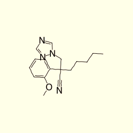 CCCCCC(C#N)(Cn1cncn1)c1ccccc1OC